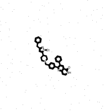 CCn1nc(Cc2ccccc2)cc1C1CCN(Cc2ccc(-c3nc4cc[nH]c(=O)c4cc3-c3ccccc3)cc2)CC1